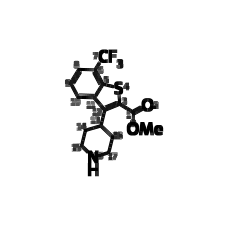 COC(=O)c1sc2c(C(F)(F)F)cccc2c1C1CCNCC1